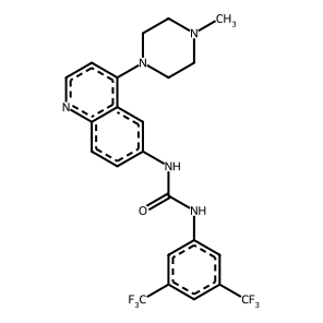 CN1CCN(c2ccnc3ccc(NC(=O)Nc4cc(C(F)(F)F)cc(C(F)(F)F)c4)cc23)CC1